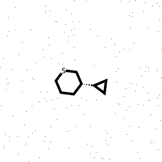 C1CSC[C@H](C2CC2)C1